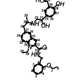 CCOc1ccccc1CNC(=O)c1cc2cc(C[C@@H](C)NC[C@@H](O)c3ccc(O)c(CO)c3)ccc2n1CC